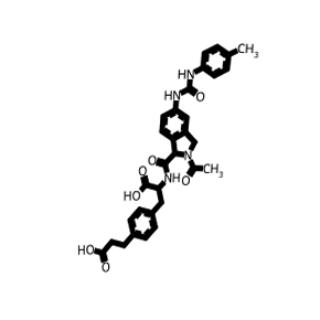 CC(=O)N1Cc2cc(NC(=O)Nc3ccc(C)cc3)ccc2C1C(=O)NC(Cc1ccc(CCC(=O)O)cc1)C(=O)O